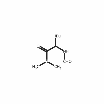 CCC(C)C(NC=O)C(=O)N(C)C